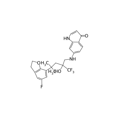 CC(C)(CC(O)(CNc1ccc2c(=O)cc[nH]c2c1)C(F)(F)F)c1cc(F)cc2c1OCC2